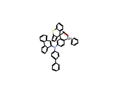 c1ccc(-c2ccc(N(c3ccc4c(c3)C3(c5ccccc5Sc5ccccc53)c3ccccc3[SiH]4c3ccccc3)c3cc4ccccc4c4ccccc34)cc2)cc1